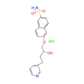 Cl.NS(=O)(=O)c1ccc2cc(OCC(O)CCc3cccnc3)ccc2c1